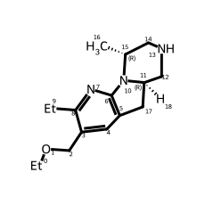 CCOCc1cc2c(nc1CC)N1[C@@H](CNC[C@H]1C)C2